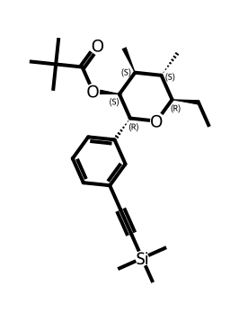 CC[C@H]1O[C@H](c2cccc(C#C[Si](C)(C)C)c2)[C@@H](OC(=O)C(C)(C)C)[C@@H](C)[C@@H]1C